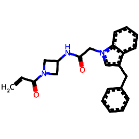 C=CC(=O)N1CC(NC(=O)Cn2cc(Cc3ccccc3)c3ccccc32)C1